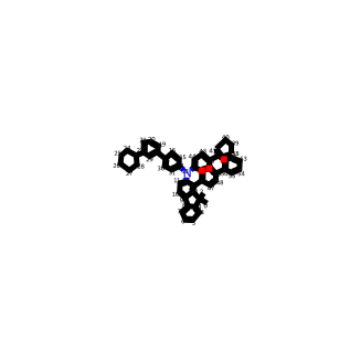 CC1(C)c2ccccc2-c2ccc(N(c3ccc(-c4cccc(C5CCCCC5)c4)cc3)c3ccc(C4CC5CCC4C5)cc3)c(-c3ccc(-c4ccccc4)cc3)c21